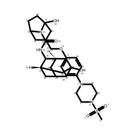 CS(=O)(=O)N1CCN(c2ccc(OCC3CC4CCC(O)(C3)N4C(=O)NC3[C@@H]4CC5C[C@H]3CC(O)(C5)C4)cc2)CC1